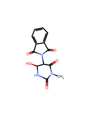 CN1C(=O)NC(O)C(N2C(=O)c3ccccc3C2=O)C1=O